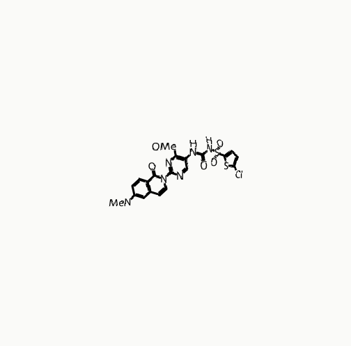 CNc1ccc2c(=O)n(-c3ncc(NC(=O)NS(=O)(=O)c4ccc(Cl)s4)c(OC)n3)ccc2c1